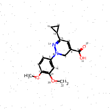 COc1ccc(N2CC(C(=O)O)=CC(C3CC3)=N2)cc1OC